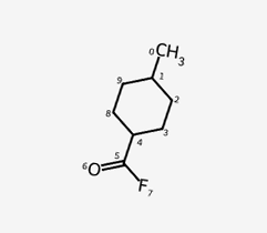 CC1CCC(C(=O)F)CC1